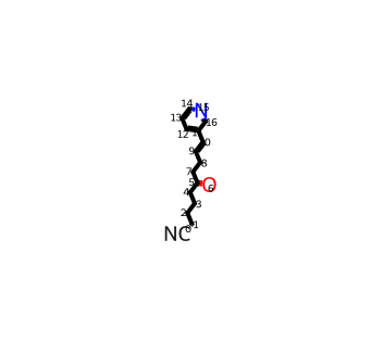 N#CCCCCC(=O)CC/C=C/c1cccnc1